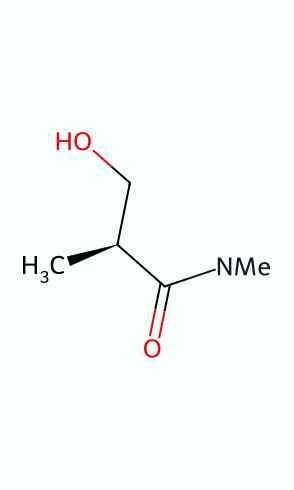 CNC(=O)[C@@H](C)CO